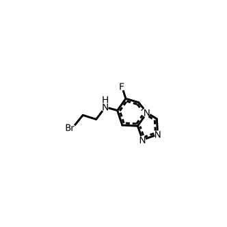 Fc1cn2cnnc2cc1NCCBr